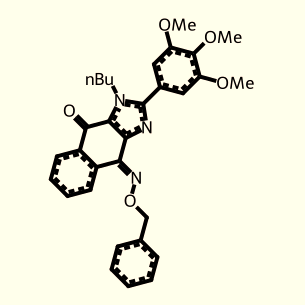 CCCCn1c(-c2cc(OC)c(OC)c(OC)c2)nc2c1C(=O)c1ccccc1C2=NOCc1ccccc1